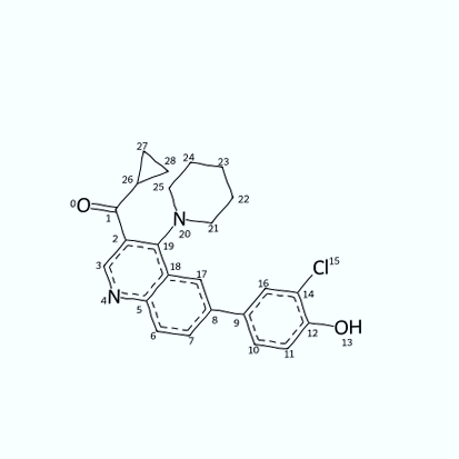 O=C(c1cnc2ccc(-c3ccc(O)c(Cl)c3)cc2c1N1CCCCC1)C1CC1